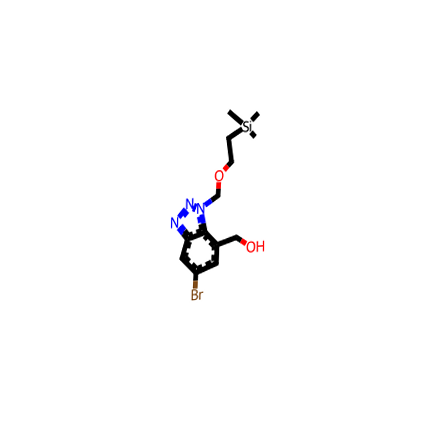 C[Si](C)(C)CCOCn1nnc2cc(Br)cc(CO)c21